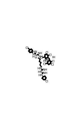 I.N=C(NCCCCCCNC(=N)NC(=N)Nc1ccc(Cl)cc1)NC(=N)Nc1ccc(Cl)cc1.Oc1c(Cl)cc(Cl)c(Cl)c1Cc1c(O)c(Cl)cc(Cl)c1Cl